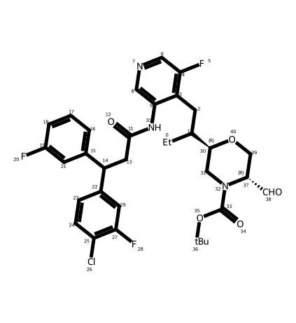 CCC(Cc1c(F)cncc1NC(=O)CC(c1cccc(F)c1)c1ccc(Cl)c(F)c1)[C@@H]1CN(C(=O)OC(C)(C)C)[C@@H](C=O)CO1